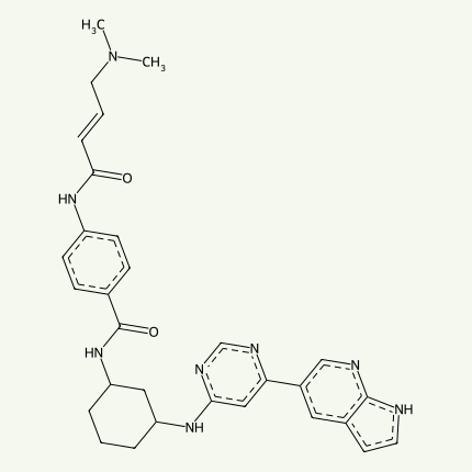 CN(C)C/C=C/C(=O)Nc1ccc(C(=O)NC2CCCC(Nc3cc(-c4cnc5[nH]ccc5c4)ncn3)C2)cc1